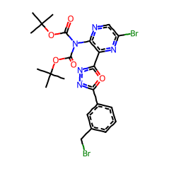 CC(C)(C)OC(=O)N(C(=O)OC(C)(C)C)c1ncc(Br)nc1-c1nnc(-c2cccc(CBr)c2)o1